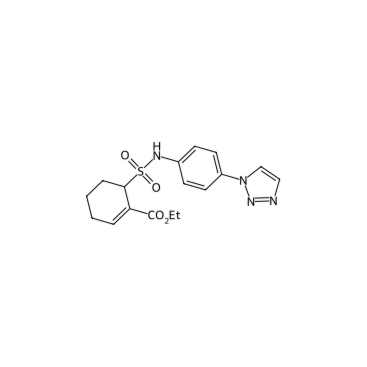 CCOC(=O)C1=CCCCC1S(=O)(=O)Nc1ccc(-n2ccnn2)cc1